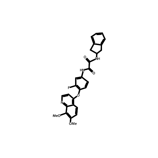 COc1ccc2c(Oc3ccc(NC(=O)C(=O)NC4Cc5ccccc5C4)cc3F)ccnc2c1OC